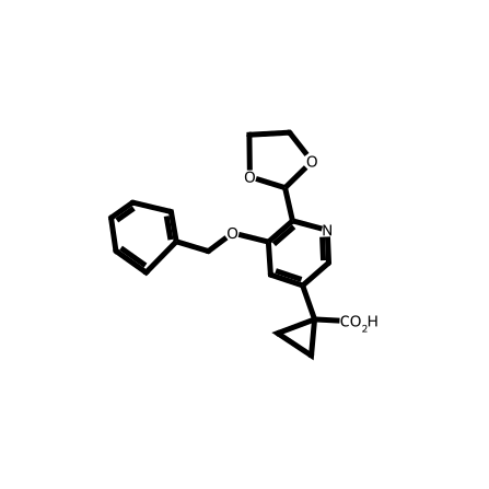 O=C(O)C1(c2cnc(C3OCCO3)c(OCc3ccccc3)c2)CC1